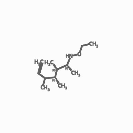 C=CC(C)[C@H](C)[C@@H](C)[C@H](C)NOCC